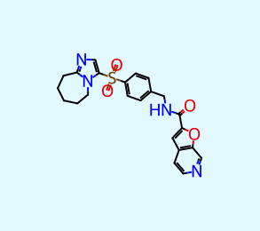 O=C(NCc1ccc(S(=O)(=O)c2cnc3n2CCCCC3)cc1)c1cc2ccncc2o1